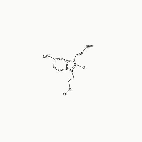 CCOCCn1c(Cl)c(/C=N/NC)c2cc(OC)ccc21